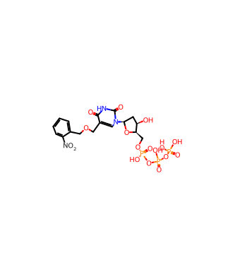 O=c1[nH]c(=O)n([C@H]2C[C@@H](O)[C@@H](COP(=O)(O)OP(=O)(O)OP(=O)(O)O)O2)cc1COCc1ccccc1[N+](=O)[O-]